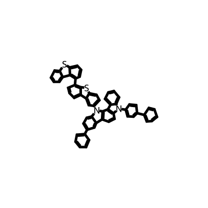 c1ccc(-c2ccc(-n3c4ccccc4c4c3ccc3c5cc(-c6ccccc6)ccc5n(-c5ccc6sc7c(-c8cccc9sc%10ccccc%10c89)cccc7c6c5)c34)cc2)cc1